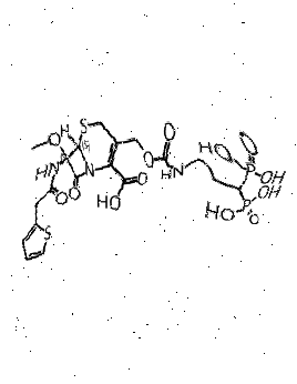 CO[C@@]1(NC(=O)Cc2cccs2)C(=O)N2C(C(=O)O)=C(COC(=O)NCCC(P(=O)(O)O)P(=O)(O)O)CS[C@H]21